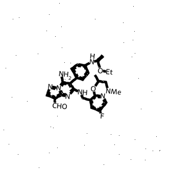 C=C(Nc1ccc(-c2c(NCc3cc(F)cnc3OC(C)CNC)nc3c(C=O)cnn3c2N)cc1)OCC